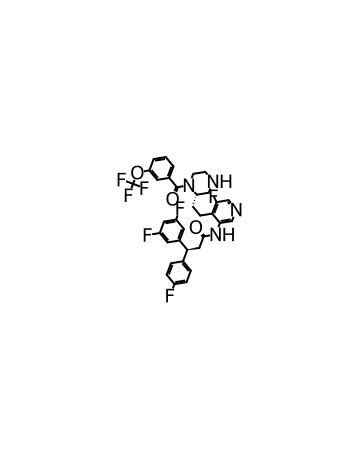 O=C(C[C@@H](c1ccc(F)cc1)c1cc(F)cc(F)c1)Nc1cncc(F)c1CC[C@H]1CNCCN1C(=O)c1cccc(OC(F)(F)F)c1